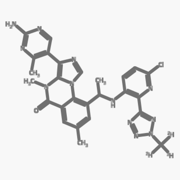 [2H]C([2H])([2H])n1nnc(-c2nc(Cl)ccc2NC(C)c2cc(C)cc3c(=O)n(C)c4c(-c5cnc(N)nc5C)ncn4c23)n1